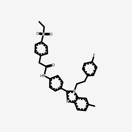 CCS(=O)(=O)c1ccc(CC(=O)Nc2ccc(-c3nc4ccc(C)cc4n3CCc3ccc(F)cc3)cc2)cc1